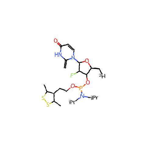 [2H]CC1OC(N2C=CC(=O)NC2=C)C(F)C1OP(OCCC1C(C)SSC1C)N(C(C)C)C(C)C